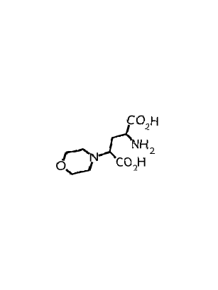 NC(CC(C(=O)O)N1CCOCC1)C(=O)O